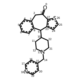 O=C1Cc2ccccc2C(C2CCN(Cc3ccncc3)CC2)c2ccsc21